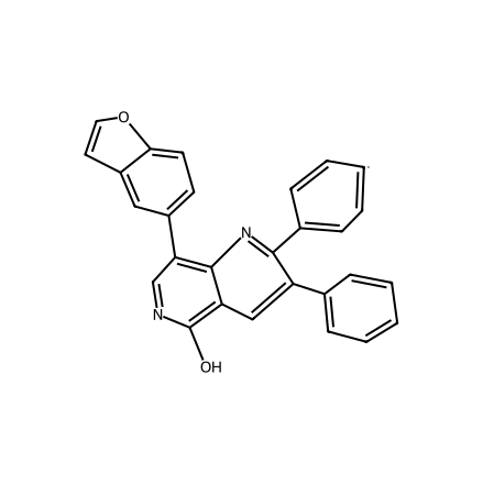 Oc1ncc(-c2ccc3occc3c2)c2nc(-c3cc[c]cc3)c(-c3ccccc3)cc12